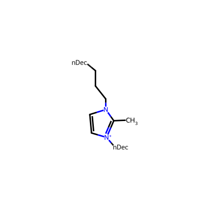 CCCCCCCCCCCCCn1cc[n+](CCCCCCCCCC)c1C